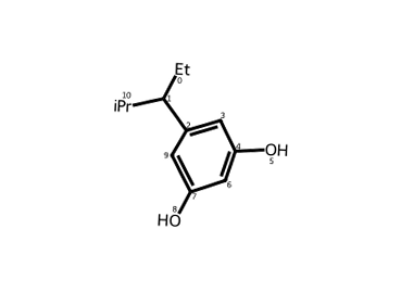 CCC(c1cc(O)cc(O)c1)C(C)C